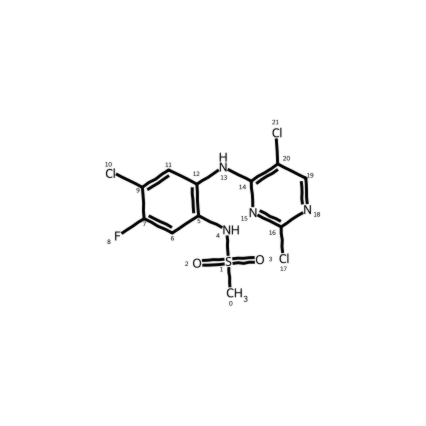 CS(=O)(=O)Nc1cc(F)c(Cl)cc1Nc1nc(Cl)ncc1Cl